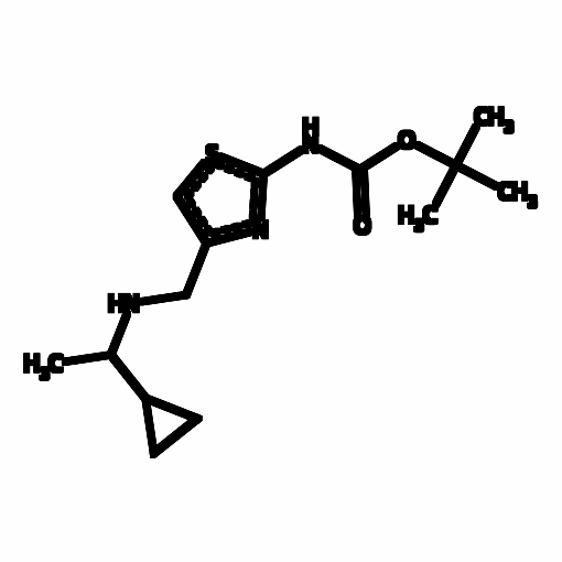 CC(NCc1csc(NC(=O)OC(C)(C)C)n1)C1CC1